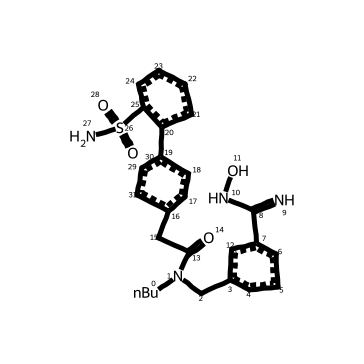 CCCCN(Cc1cccc(C(=N)NO)c1)C(=O)Cc1ccc(-c2ccccc2S(N)(=O)=O)cc1